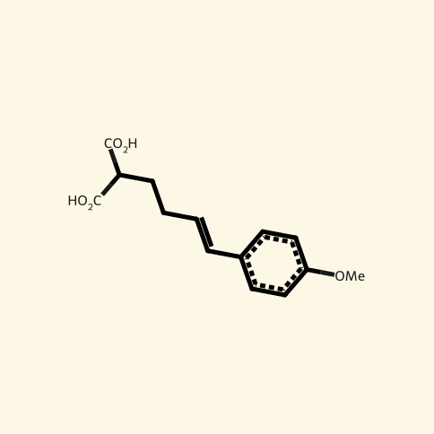 COc1ccc(C=CCCC(C(=O)O)C(=O)O)cc1